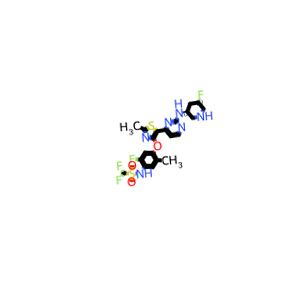 Cc1nc(Oc2cc(F)c(NS(=O)(=O)C(F)F)cc2C)c(-c2ccnc(N[C@@H]3CNC[C@@H](F)C3)n2)s1